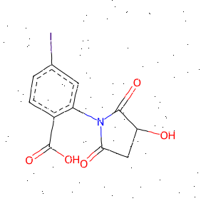 O=C(O)c1ccc(I)cc1N1C(=O)CC(O)C1=O